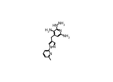 Cc1cccc(-n2cc(Cc3cc(N)nc(NN)c3N)cn2)n1